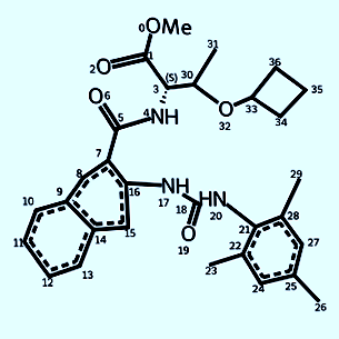 COC(=O)[C@@H](NC(=O)c1cc2ccccc2cc1NC(=O)Nc1c(C)cc(C)cc1C)C(C)OC1CCC1